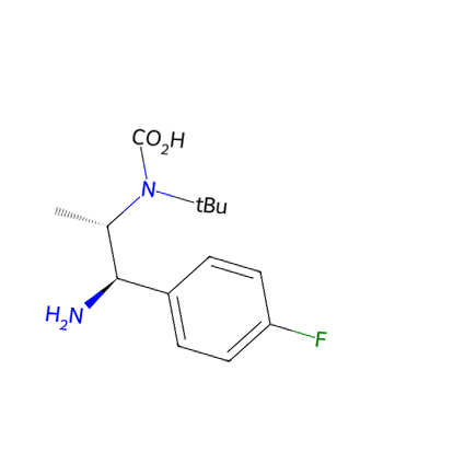 C[C@@H]([C@H](N)c1ccc(F)cc1)N(C(=O)O)C(C)(C)C